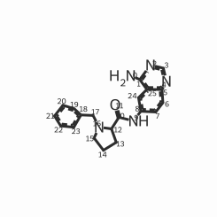 Nc1ncnc2ccc(NC(=O)C3CCCN3Cc3ccccc3)cc12